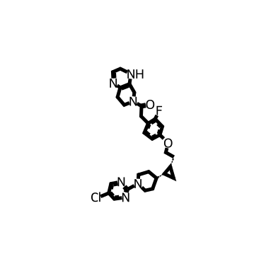 O=C(Cc1ccc(OCC[C@@H]2C[C@@H]2C2CCN(c3ncc(Cl)cn3)CC2)cc1F)N1CCC2=C(C1)NCC=N2